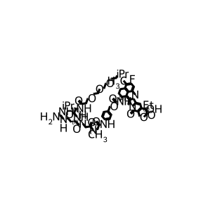 CC[C@@]1(O)C(=O)OCc2c1cc1n(c2=O)Cc2c-1nc1cc(F)c(C)c3c1c2[C@@H](NC(=O)OCc1ccc(NC(=O)CN(C)C(=O)CNC(=O)[C@@H](CCNC(=N)N)NC(=O)[C@H](NC(=O)CCOCCOCCOCCC(C)C)C(C)C)cc1)CC3